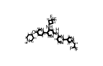 CN1CCC(Oc2ccc(-c3cnc(Nc4ccnc(-c5cnn(CC(F)F)c5)n4)cc3NC3CC(F)(F)C3)nc2)CC1